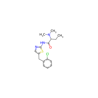 CCC(C(=O)Nc1ncc(Cc2ccccc2Cl)s1)N(C)C